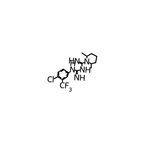 CC1CCCC(C)N1C(=N)NC(=N)Nc1ccc(Cl)c(C(F)(F)F)c1